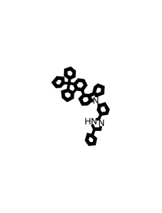 C1=C(c2ccccc2)CNC(c2cccc(-n3c4ccccc4c4c(-c5cccc6c5-c5ccccc5C6(c5ccccc5)c5ccccc5)cccc43)c2)=N1